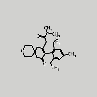 CCc1cc(C)cc(CC)c1C1=C(CC(=O)C(C)C)CC2(CCOCC2)CC1=O